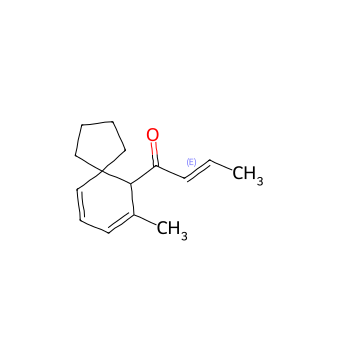 C/C=C/C(=O)C1C(C)=CC=CC12CCCC2